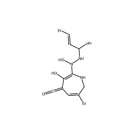 CCC=CC(CCC)NN(O)C1=C(O)C(=C=O)C=C(CC)CN1